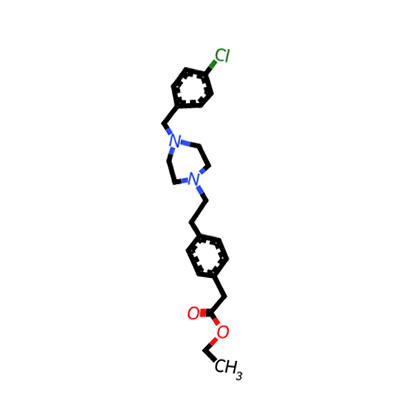 CCOC(=O)Cc1ccc(CCN2CCN(Cc3ccc(Cl)cc3)CC2)cc1